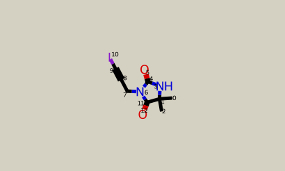 CC1(C)NC(=O)N(CC#CI)C1=O